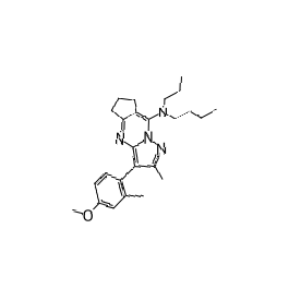 CCCCN(CCC)c1c2c(nc3c(-c4ccc(OC)cc4C)c(C)nn13)CCC2